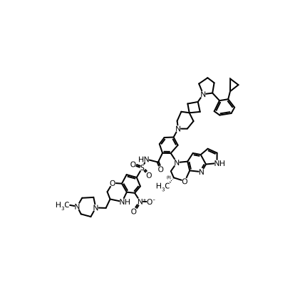 C[C@@H]1CN(c2cc(N3CCC4(CC3)CC(N3CCCC3c3ccccc3C3CC3)C4)ccc2C(=O)NS(=O)(=O)c2cc3c(c([N+](=O)[O-])c2)NC(CN2CCN(C)CC2)CO3)c2cc3cc[nH]c3nc2O1